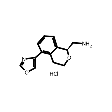 Cl.NC[C@H]1OCCc2c(-c3cocn3)cccc21